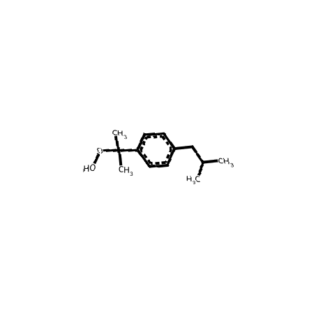 CC(C)Cc1ccc(C(C)(C)OO)cc1